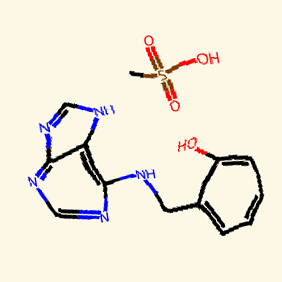 CS(=O)(=O)O.Oc1ccccc1CNc1ncnc2nc[nH]c12